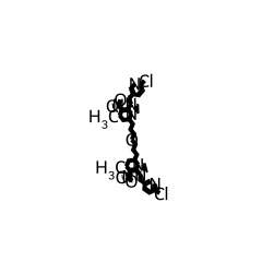 CC1CC(CCCOCCCC2CC(C)C([N+](=O)[O-])=C3N(Cc4ccc(Cl)nc4)CCN32)N2CCN(Cc3ccc(Cl)nc3)C2=C1[N+](=O)[O-]